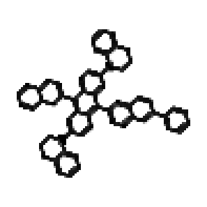 C1=CC2=CC=C(c3c4cc(N5CCCc6ccccc65)ccc4c(-c4ccc5cc(-c6ccccc6)ccc5c4)c4cc(N5CCCc6ccccc65)ccc34)CC2C=C1